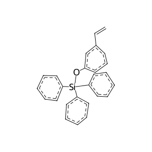 C=Cc1cccc(O[Si](c2ccccc2)(c2ccccc2)c2ccccc2)c1